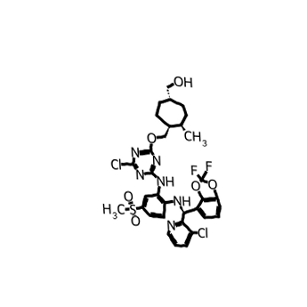 C[C@@H]1CC[C@@H](CO)CC[C@@H]1COc1nc(Cl)nc(Nc2cc(S(C)(=O)=O)ccc2N[C@@H](c2cccc3c2OC(F)(F)O3)c2ncccc2Cl)n1